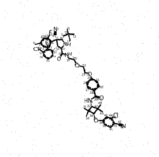 Cc1ccc([C@@]2(C#N)[C@H](CC(C)(C)C)NC(C(=O)NCCOCCOc3ccc(C(=O)N[C@H]4C(C)(C)[C@H](Oc5ccc(C#N)c(Cl)c5)C4(C)C)cc3)[C@@H]2c2cccc(Cl)c2F)c(F)c1